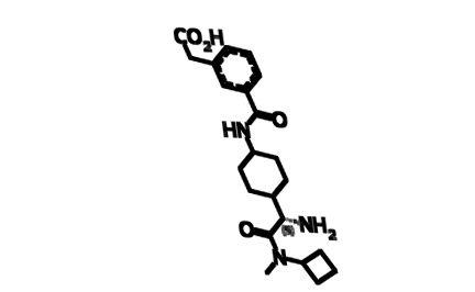 CN(C(=O)[C@@H](N)C1CCC(NC(=O)c2cccc(CC(=O)O)c2)CC1)C1CCC1